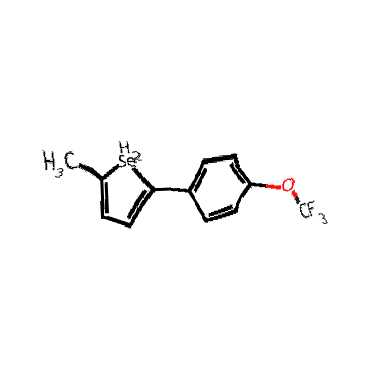 CC1=CC=C(c2ccc(OC(F)(F)F)cc2)[SeH2]1